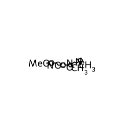 COc1ccc(COc2ccc(-c3nc(CCN4CCC[C@H]4C)c(C)o3)cc2)cn1